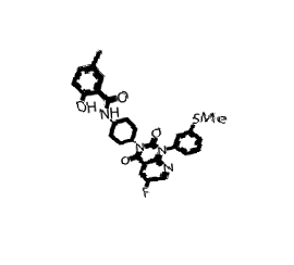 CSc1cccc(-n2c(=O)n([C@H]3CC[C@@H](NC(=O)c4cc(C)ccc4O)CC3)c(=O)c3cc(F)cnc32)c1